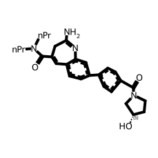 CCCN(CCC)C(=O)C1=Cc2ccc(-c3ccc(C(=O)N4CC[C@H](O)C4)cc3)cc2N=C(N)C1